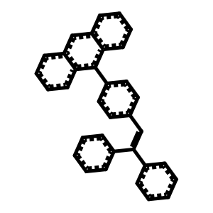 C(=C(c1ccccc1)c1ccccc1)c1ccc(-c2c3ccccc3cc3ccccc23)cc1